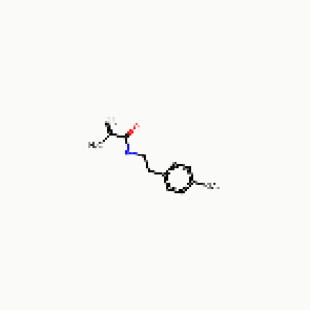 C=C(C)C(=O)NCCc1ccc(OC(C)=O)cc1